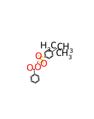 CC(C)(C)c1ccc(S(=O)(=O)COC(=O)c2ccccc2)cc1